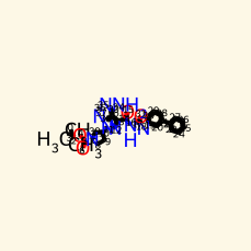 CC(C)(C)OC(=O)N1CCC(n2nc(C(=O)Nc3nc4cc(-c5ccccc5)ccc4o3)c3c(N)ncnc32)C1